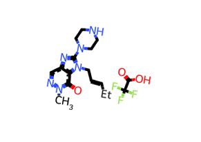 CC/C=C/Cn1c(N2CCNCC2)nc2cnn(C)c(=O)c21.O=C(O)C(F)(F)F